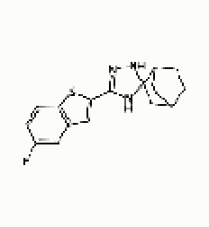 Fc1ccc2sc(C3=NNC4(CC5CCC4CC5)N3)cc2c1